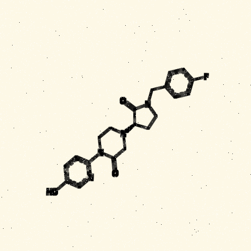 O=C1[C@H](N2CCN(c3ccc(O)cn3)C(=O)C2)CCN1Cc1ccc(F)cc1